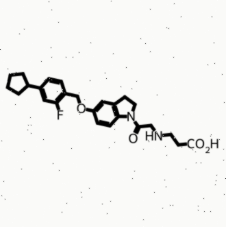 O=C(O)CCNCC(=O)N1CCc2cc(OCc3ccc(C4CCCC4)cc3F)ccc21